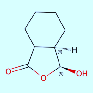 O=C1O[C@H](O)[C@@H]2CCCCC12